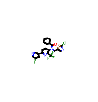 O=C(c1ccccc1)N(Cc1cnc(Cl)s1)c1ccc(-c2cncc(F)c2)nc1C(F)(F)F